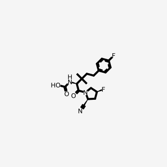 CC(C)(CCc1ccc(F)cc1)[C@H](NC(=O)O)C(=O)N1C[C@@H](F)C[C@H]1C#N